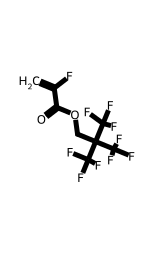 C=C(F)C(=O)OCC(C(F)(F)F)(C(F)(F)F)C(F)(F)F